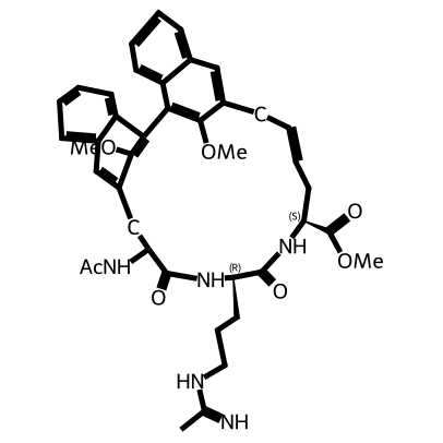 COC(=O)[C@@H]1CC=CCc2cc3ccccc3c(c2OC)-c2c(OC)c(cc3ccccc23)CC(NC(C)=O)C(=O)N[C@H](CCCNC(C)=N)C(=O)N1